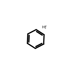 [Hf].[c]1ccccc1